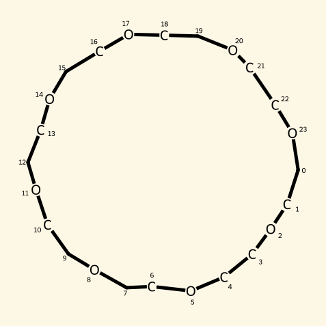 C1COCCOCCOCCOCCOCCOCCOCCO1